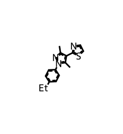 [CH2]Cc1ccc(-n2nc(C)c(-c3nccs3)c2C)cc1